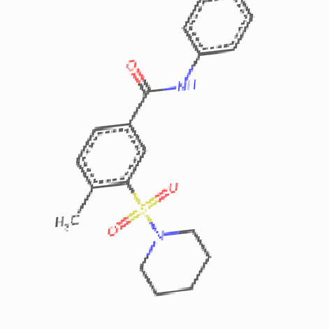 Cc1ccc(C(=O)Nc2ccccc2)cc1S(=O)(=O)N1CCCCC1